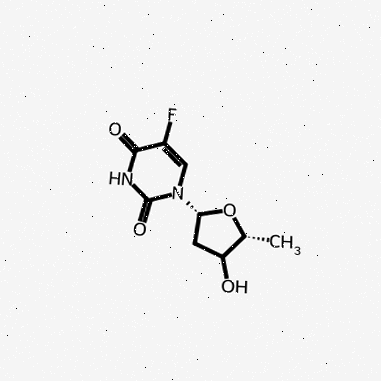 C[C@H]1O[C@@H](n2cc(F)c(=O)[nH]c2=O)CC1O